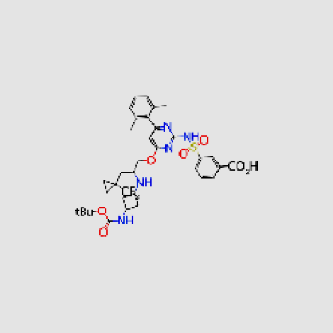 Cc1cccc(C)c1-c1cc(OCC(CC2(C(F)(F)F)CC2)NC2CC(NC(=O)OC(C)(C)C)C2)nc(NS(=O)(=O)c2cccc(C(=O)O)c2)n1